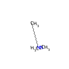 CCCCCCCCCCCCCCCC[N+]1(C)C=CN(C)C1